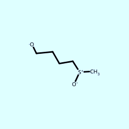 C[S+]([O-])CCCC[O]